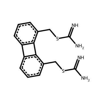 N=C(N)SCc1cccc2c1-c1c(CSC(=N)N)cccc1-2